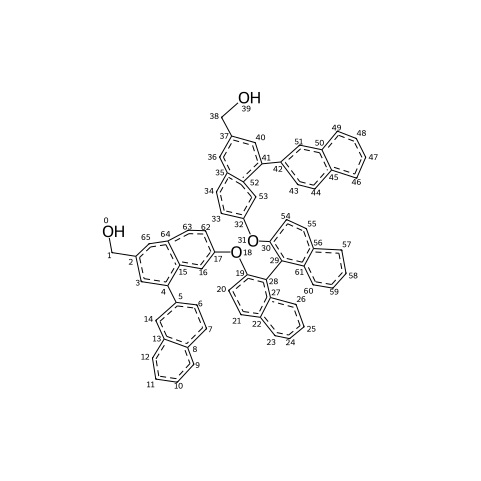 OCc1cc(-c2ccc3ccccc3c2)c2cc(Oc3ccc4ccccc4c3-c3c(Oc4ccc5cc(CO)cc(-c6ccc7ccccc7c6)c5c4)ccc4ccccc34)ccc2c1